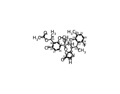 COc1c(S(=O)(=O)NC(c2n[nH]c(=O)o2)C(C)c2c(F)ccc(C)c2C)ccc(Cl)c1C(C)OC(C)=O